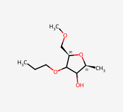 CCCOC1C(O)[C@H](C)O[C@@H]1COC